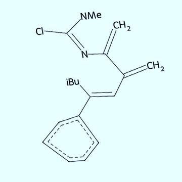 C=C(/C=C(/c1ccccc1)C(C)CC)C(=C)/N=C(/Cl)NC